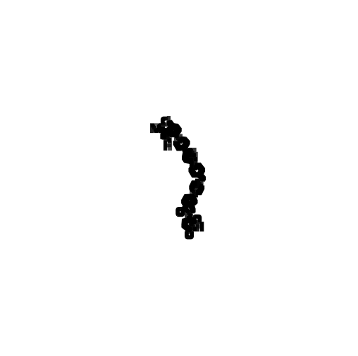 N#Cc1c[nH]c2c(N3CCC(c4ccc(N5CCC(CN6CCN(c7ccc8c(c7)CN(C7CCC(=O)NC7=O)C8=O)CC6)CC5)nn4)CC3)ccc(Cl)c12